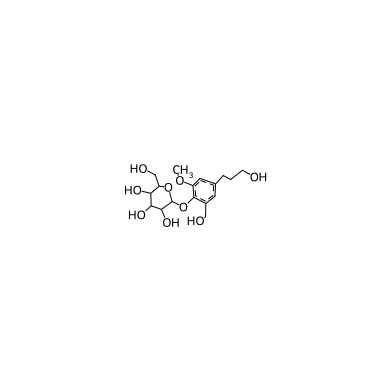 COc1cc(CCCO)cc(CO)c1OC1OC(CO)C(O)C(O)C1O